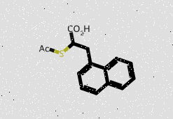 CC(=O)SC(Cc1cccc2ccccc12)C(=O)O